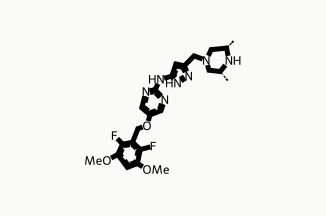 COc1cc(OC)c(F)c(COc2cnc(Nc3cc(CN4C[C@@H](C)N[C@@H](C)C4)n[nH]3)nc2)c1F